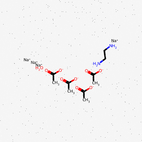 CC(=O)[O-].CC(=O)[O-].CC(=O)[O-].CC(=O)[O-].NCCN.O.[Na+].[Na+].[Na+].[Na+]